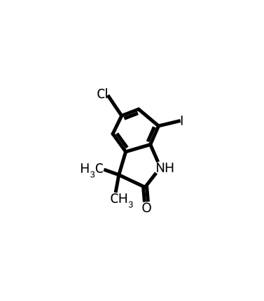 CC1(C)C(=O)Nc2c(I)cc(Cl)cc21